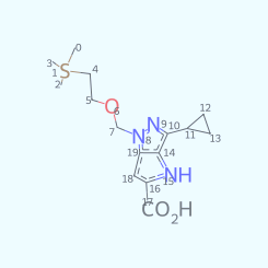 CS(C)(C)CCOCn1nc(C2CC2)c2[nH]c(C(=O)O)cc21